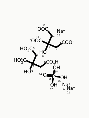 O=C(O)CC(O)(CC(=O)O)C(=O)O.O=C([O-])CC(O)(CC(=O)[O-])C(=O)[O-].O=P(O)(O)O.[Na+].[Na+].[Na+]